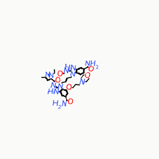 CCn1nc(C)cc1C(=O)/N=c1/[nH]c2cc(C(N)=O)cc(OCCCN3CCOCC3)c2n1C/C=C/Cn1/c(=N\C=O)[nH]c2cc(C(N)=O)ccc21